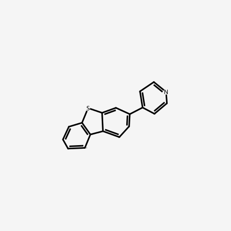 [c]1cccc2sc3cc(-c4ccncc4)ccc3c12